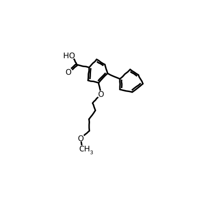 COCCCCOc1cc(C(=O)O)ccc1-c1ccccc1